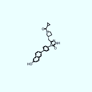 O=C(C1CC1)N1CC[C@@H](Cc2n[nH]c(=O)n2-c2ccc(-c3ccc4cc(O)ccc4c3)cc2)C1